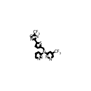 FC(F)(F)c1cnnc(N(Cc2ccc(-c3noc(C(F)(F)F)n3)s2)c2cccnn2)c1